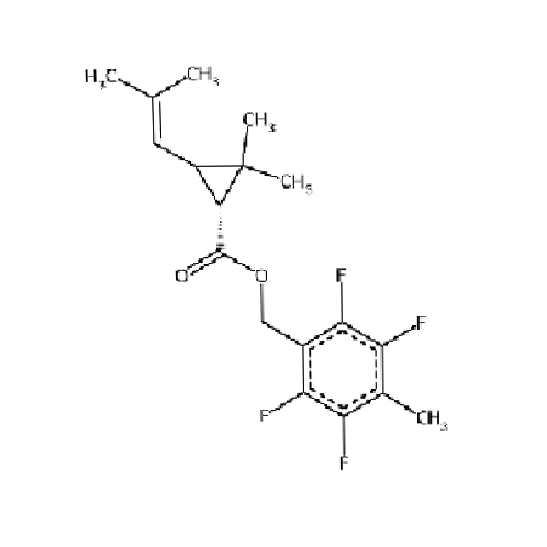 CC(C)=CC1[C@@H](C(=O)OCc2c(F)c(F)c(C)c(F)c2F)C1(C)C